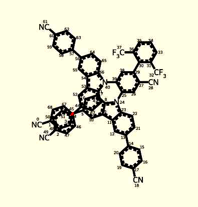 N#Cc1ccc(-c2ccc3c(c2)c2cc(-c4ccc(C#N)cc4)ccc2n3-c2cc(C#N)c(-c3c(C(F)(F)F)cccc3C(F)(F)F)cc2-n2c3ccc(-c4ccc(C#N)cc4)cc3c3cc(-c4ccc(C#N)cc4)ccc32)cc1